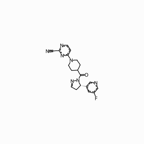 N#Cc1nccc(N2CCC(C(=O)N3N=CC[C@H]3c3cncc(F)c3)CC2)n1